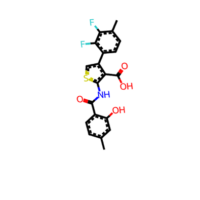 Cc1ccc(C(=O)Nc2scc(-c3ccc(C)c(F)c3F)c2C(=O)O)c(O)c1